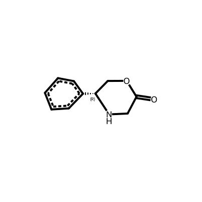 O=C1CN[C@H](c2ccccc2)CO1